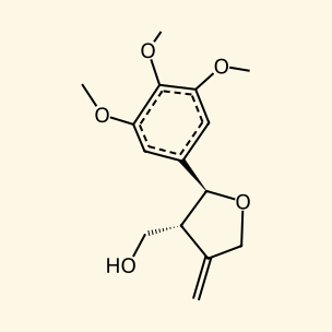 C=C1CO[C@H](c2cc(OC)c(OC)c(OC)c2)[C@H]1CO